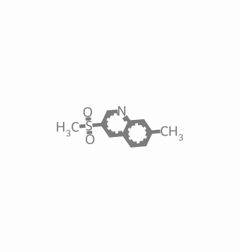 Cc1ccc2cc(S(C)(=O)=O)cnc2c1